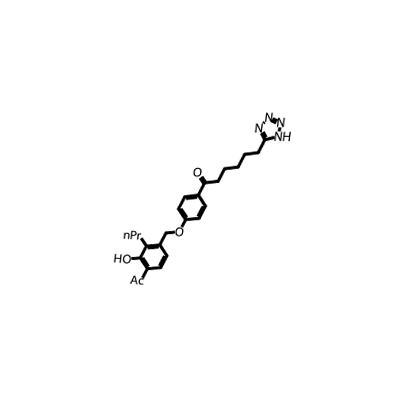 CCCc1c(COc2ccc(C(=O)CCCCCc3nnn[nH]3)cc2)ccc(C(C)=O)c1O